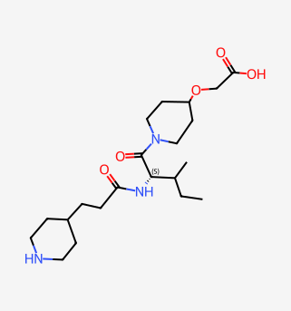 CCC(C)[C@H](NC(=O)CCC1CCNCC1)C(=O)N1CCC(OCC(=O)O)CC1